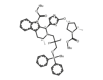 C[C@@H]1Cc2c(n(C(=O)OC(C)(C)C)c3ccccc23)[C@@H](c2cnc(O[C@@H]3C[C@H](C)N(C(=O)OC(C)(C)C)C3)s2)N1CC(F)(F)CO[Si](c1ccccc1)(c1ccccc1)C(C)(C)C